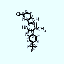 CNn1c(Nc2c[nH]c3ccc(Cl)nc23)nc2cc(C(F)(F)F)ccc21